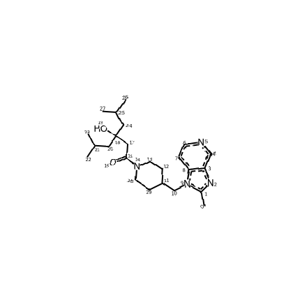 Cc1nc2cnccc2n1CC1CCN(C(=O)CC(O)(CC(C)C)CC(C)C)CC1